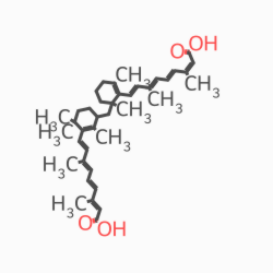 CC1=C(/C=C/C(C)=C/C=C/C(C)=C\C(=O)O)C(C)(CC2CCC(C)(C)C(/C=C/C(C)=C/C=C/C(C)=C/C(=O)O)=C2C)CCC1